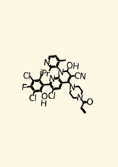 C=CC(=O)N1CCN(C2=C(C#N)C(O)N(c3c(C)ccnc3C(C)C)c3nc(-c4c(C)c(Cl)c(F)c(Cl)c4O)c(Cl)cc32)CC1